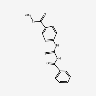 CCCCOC(=O)c1ccc(NC(=S)NC(=O)c2ccccc2)cc1